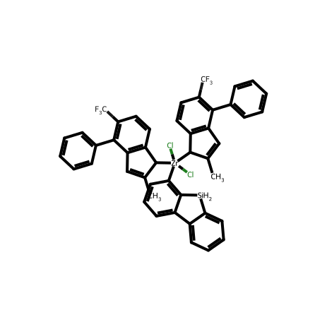 CC1=Cc2c(ccc(C(F)(F)F)c2-c2ccccc2)[CH]1[Zr]([Cl])([Cl])([c]1cccc2c1[SiH2]c1ccccc1-2)[CH]1C(C)=Cc2c1ccc(C(F)(F)F)c2-c1ccccc1